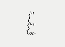 O=C([O-])CCCCCCCS.[Na+]